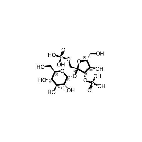 O=P(O)(O)OC[C@@]1(O[C@H]2O[C@H](CO)[C@@H](O)[C@H](O)[C@H]2O)O[C@H](CO)[C@@H](O)[C@@H]1OP(=O)(O)O